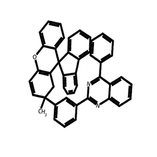 CC1(c2cccc(-c3nc(-c4ccccc4)c4ccccc4n3)c2)C=CC2=C(C1)C1(c3ccccc3O2)c2ccccc2-c2ccccc21